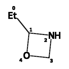 CCC1NCO1